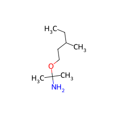 CCC(C)CCOC(C)(C)N